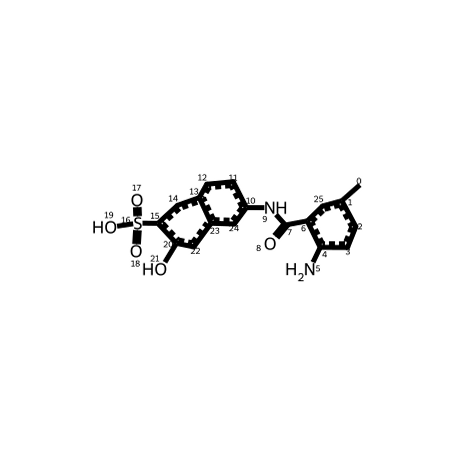 Cc1ccc(N)c(C(=O)Nc2ccc3cc(S(=O)(=O)O)c(O)cc3c2)c1